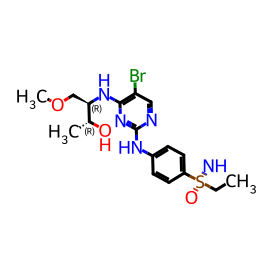 CCS(=N)(=O)c1ccc(Nc2ncc(Br)c(N[C@H](COC)[C@@H](C)O)n2)cc1